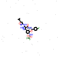 C[C@H](Oc1cc(-c2n[nH]c(Nc3cc(C4CC4)on3)c2C(N)=O)ccc1NS(=O)(=O)C(F)F)c1ccc(F)cc1